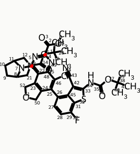 COC(=O)c1nc(N2C3CCC2CN(C(=O)OC(C)(C)C)C3)c2c3c(c(-c4ccc(F)c5sc(NC(=O)OC(C)(C)C)c(C#N)c45)c(Cl)c2n1)COC3